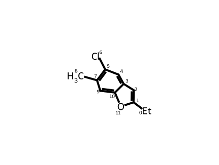 CCc1cc2cc(Cl)c(C)cc2o1